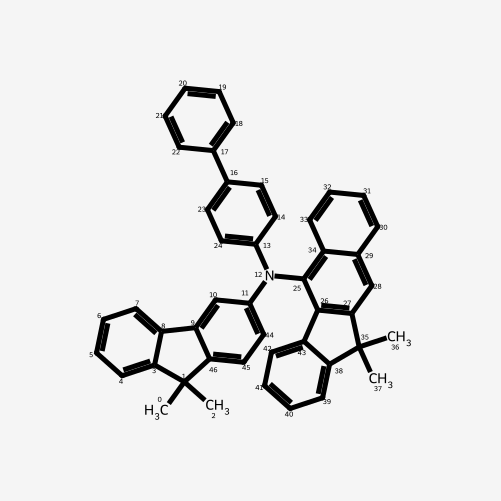 CC1(C)c2ccccc2-c2cc(N(c3ccc(-c4ccccc4)cc3)c3c4c(cc5ccccc35)C(C)(C)c3ccccc3-4)ccc21